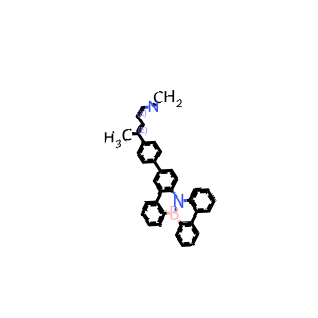 C=N/C=C\C=C(/C)c1ccc(-c2ccc3c(c2)-c2ccccc2B2c4ccccc4-c4ccccc4N23)cc1